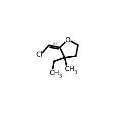 CCC1(C)CCO/C1=C/Cl